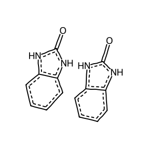 O=c1[nH]c2ccccc2[nH]1.O=c1[nH]c2ccccc2[nH]1